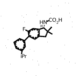 CC(C)c1cccc(-c2cc3c(cc2F)[C@H](NC(=O)O)C(C)(C)C3)c1